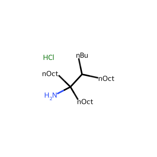 CCCCCCCCC(CCCC)C(N)(CCCCCCCC)CCCCCCCC.Cl